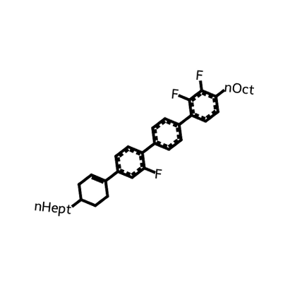 CCCCCCCCc1ccc(-c2ccc(-c3ccc(C4=CCC(CCCCCCC)CC4)cc3F)cc2)c(F)c1F